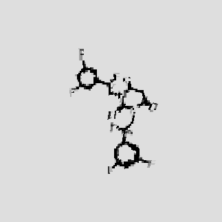 O=C1CC(=O)N(C[C@H](F)c2cc(F)cc(F)c2)C(=O)N1C[C@H](F)c1cc(F)cc(F)c1